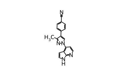 Cc1nn(-c2ccnc3[nH]ccc23)cc1-c1ccc(C#N)cc1